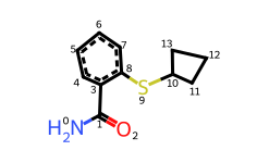 NC(=O)c1ccccc1SC1CCC1